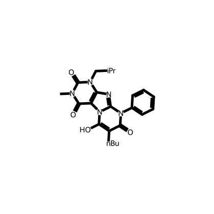 CCCCc1c(O)n2c3c(=O)n(C)c(=O)n(CC(C)C)c3nc2n(-c2ccccc2)c1=O